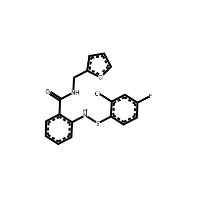 O=C(NCc1ccco1)c1ccccc1NSc1ccc(F)cc1Cl